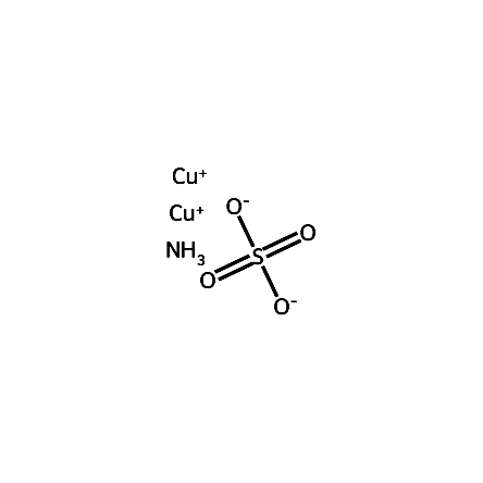 N.O=S(=O)([O-])[O-].[Cu+].[Cu+]